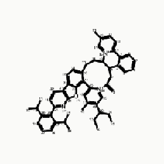 C=C1CC2c3ccccc3-c3ccc(C)c[n+]3C2CCc2ccc3c(oc4nc(-c5c(C(C)C)cccc5C(C)C)ccc43)c2-c2cc(C)c(C(CC)CC)c[n+]21